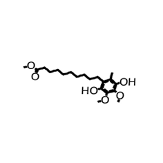 COC(=O)CCCCCCCCCc1c(C)c(O)c(OC)c(OC)c1O